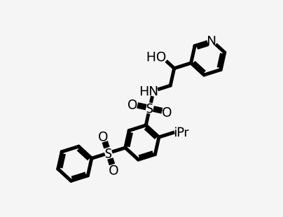 CC(C)c1ccc(S(=O)(=O)c2ccccc2)cc1S(=O)(=O)NCC(O)c1cccnc1